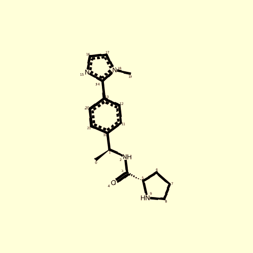 C[C@H](NC(=O)[C@@H]1CCCN1)c1ccc(-c2nccn2C)cc1